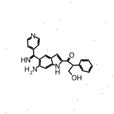 N=C(c1ccncc1)c1cc2cc(C(=O)C(CO)c3ccccc3)[nH]c2cc1N